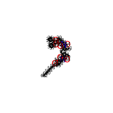 C=CC1CC(/C=C\C2CC(C=C)C3C(=O)N(Cc4cc(C)c(OCc5ccccc5)c(OCc5ccccc5)c4)C(=O)C23)C2C(=O)N(Cc3cc(C)c(OCCCCCCCCCC)c(C)c3)C(=O)C12